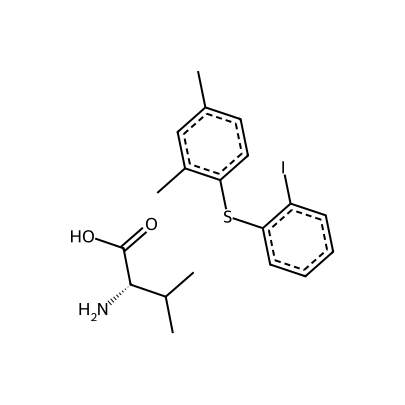 CC(C)[C@H](N)C(=O)O.Cc1ccc(Sc2ccccc2I)c(C)c1